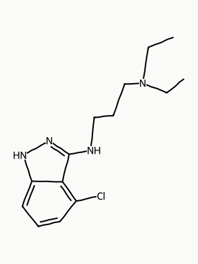 CCN(CC)CCCNc1n[nH]c2cccc(Cl)c12